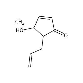 C.C=CCC1C(=O)C=CC1O